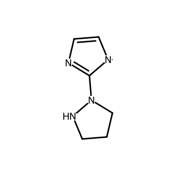 C1=CN=C(N2CCCN2)[N]1